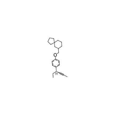 CC#C[C@@H](CC)c1ccc(OCC2CCCC3(CCCC3)C2)cc1